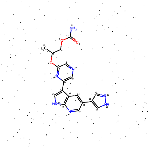 NC(=O)OCC(Oc1cncc(-c2c[nH]c3ncc(-c4cn[nH]c4)cc23)n1)C(F)(F)F